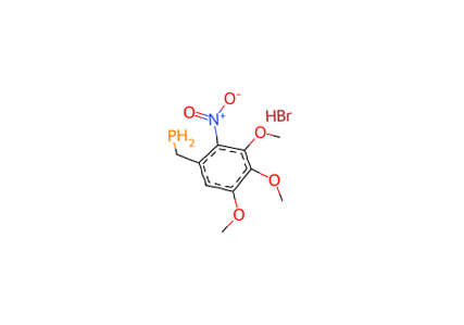 Br.COc1cc(CP)c([N+](=O)[O-])c(OC)c1OC